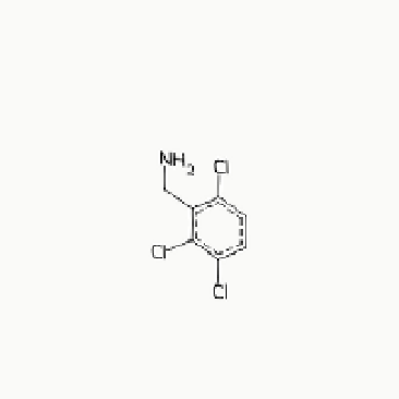 NCc1c(Cl)ccc(Cl)c1Cl